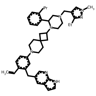 C=Cc1ccc(N2CCC3(CC2)CC(N2CCN(Cc4cn(C)nc4CC)CC2c2ccccc2C(C)C)C3)cc1Cc1cnc2[nH]ccc2c1